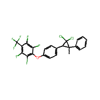 CC1(c2ccccc2)C(c2ccc(Oc3c(F)c(F)c(C(F)(F)F)c(F)c3F)cc2)C1(Cl)Cl